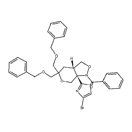 O=C(c1ccccc1)N1OC[C@H]2CC(COCc3ccccc3)(COCc3ccccc3)OC[C@]21c1nc(Br)cs1